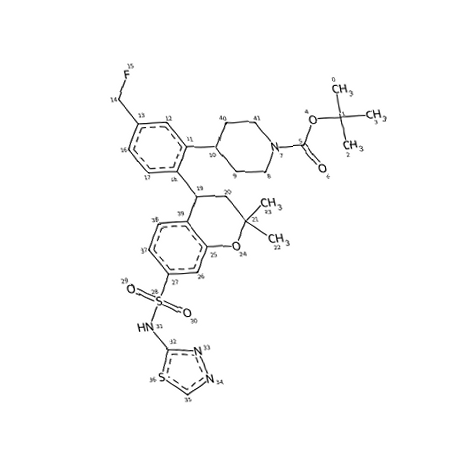 CC(C)(C)OC(=O)N1CCC(c2cc(CF)ccc2C2CC(C)(C)Oc3cc(S(=O)(=O)Nc4nncs4)ccc32)CC1